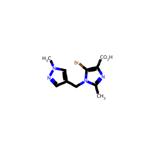 Cc1nc(C(=O)O)c(Br)n1Cc1cnn(C)c1